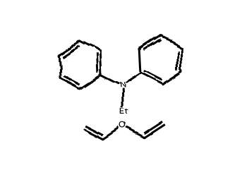 C=COC=C.CCN(c1ccccc1)c1ccccc1